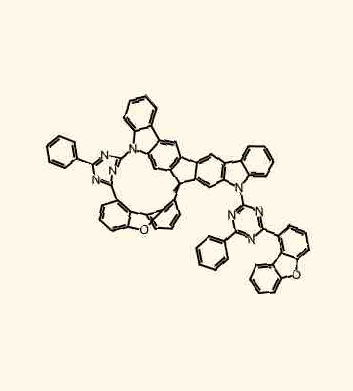 CC12c3cc4c(cc3-c3cc5c6ccccc6n(c5cc31)-c1nc(-c3ccccc3)nc(n1)-c1cccc3oc5c2cccc5c13)c1ccccc1n4-c1nc(-c2ccccc2)nc(-c2cccc3oc4ccccc4c23)n1